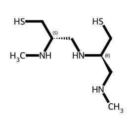 CNC[C@H](CS)NC[C@@H](CS)NC